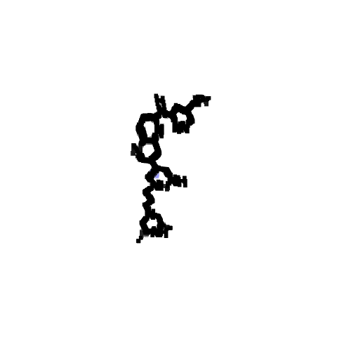 CC(C)c1cnnc(Nc2ccc3ncc(/C(C=N)=C/NCCCN4C[C@@H](C)N[C@@H](C)C4)cc3n2)c1